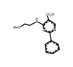 CCOC(=O)c1cnc(-c2ccccc2)nc1NCCOC